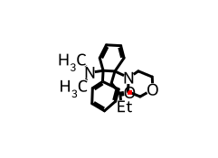 CCC(=O)CC1(N2CCOCC2)C=CC=CC1(c1ccccc1)N(C)C